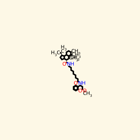 COC(=O)CC(NC(=O)CCCCCCCCNC(=O)[C@H]1C[C@]2(C)C(CCC(C)C2(C)C)C2C1CC[C@H]2C(C)C)c1ccccc1